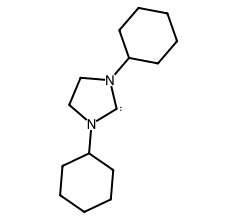 [C]1N(C2CCCCC2)CCN1C1CCCCC1